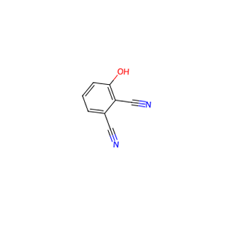 N#Cc1cccc(O)c1C#N